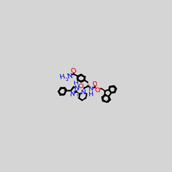 NC(=O)c1ccc(C[C@H](NC(=O)OCC2c3ccccc3-c3ccccc32)C(=O)N2CCCC[C@H]2c2nc(-c3ccccc3)c[nH]2)cc1